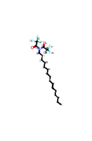 CCCCCCCCCCCCCCCCN(C(=O)C(F)(F)F)C(=O)C(F)(F)F